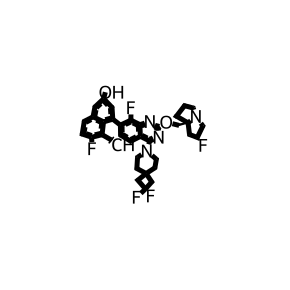 C#Cc1c(F)ccc2cc(O)cc(-c3ccc4c(N5CCC6(CC5)CC(F)(F)C6)nc(OC[C@@]56CCCN5C[C@H](F)C6)nc4c3F)c12